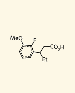 CCC(CC(=O)O)c1cccc(OC)c1F